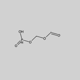 O=[C]OCO[PH](=O)O